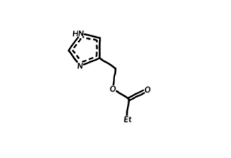 CCC(=O)OCc1c[nH]cn1